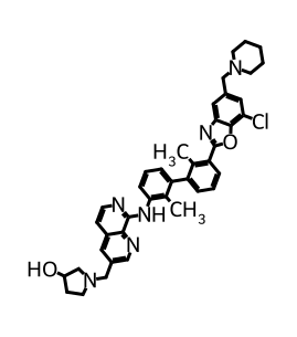 Cc1c(Nc2nccc3cc(CN4CCC(O)C4)cnc23)cccc1-c1cccc(-c2nc3cc(CN4CCCCC4)cc(Cl)c3o2)c1C